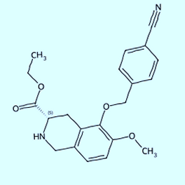 CCOC(=O)[C@@H]1Cc2c(ccc(OC)c2OCc2ccc(C#N)cc2)CN1